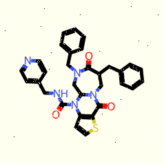 O=C1C(Cc2ccccc2)CN2C(=O)c3sccc3N(C(=O)NCc3ccncc3)C2CN1Cc1ccccc1